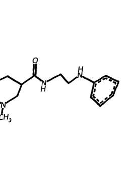 CN1CCCC(C(=O)NCCNc2ccccc2)C1